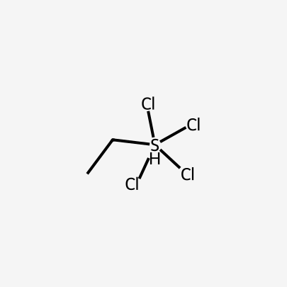 CC[SH](Cl)(Cl)(Cl)Cl